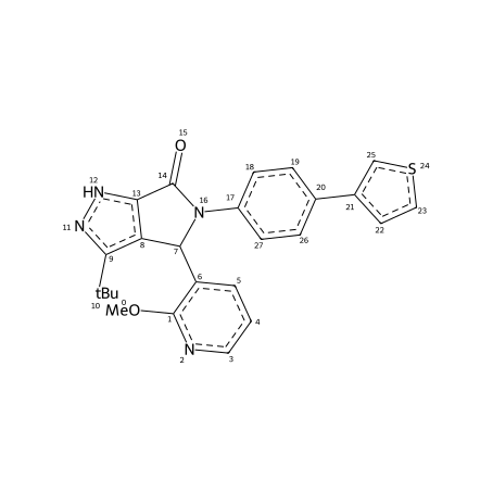 COc1ncccc1C1c2c(C(C)(C)C)n[nH]c2C(=O)N1c1ccc(-c2ccsc2)cc1